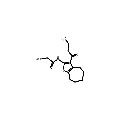 CCOC(=O)c1c(NC(=O)CS)sc2c1CCCCC2